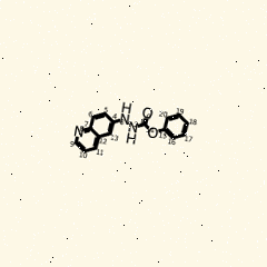 O=C(NNc1ccc2ncccc2c1)Oc1ccccc1